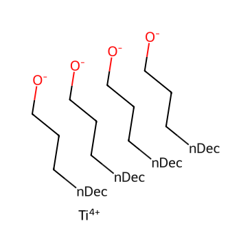 CCCCCCCCCCCCC[O-].CCCCCCCCCCCCC[O-].CCCCCCCCCCCCC[O-].CCCCCCCCCCCCC[O-].[Ti+4]